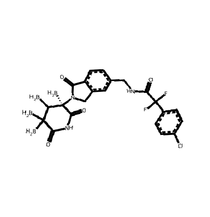 BC1C(B)(B)C(=O)NC(=O)[C@]1(B)N1Cc2cc(CNC(=O)C(F)(F)c3ccc(Cl)cc3)ccc2C1=O